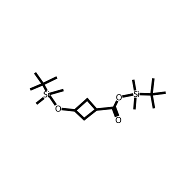 CC(C)(C)[Si](C)(C)OC(=O)C1CC(O[Si](C)(C)C(C)(C)C)C1